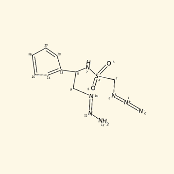 [N-]=[N+]=NCS(=O)(=O)NC(CN=NN)c1ccccc1